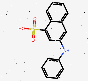 O=S(=O)(O)c1cc(Nc2ccccc2)cc2ccccc12